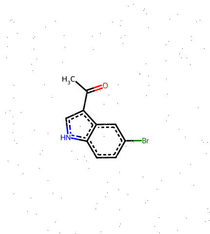 CC(=O)c1c[nH]c2ccc(Br)cc12